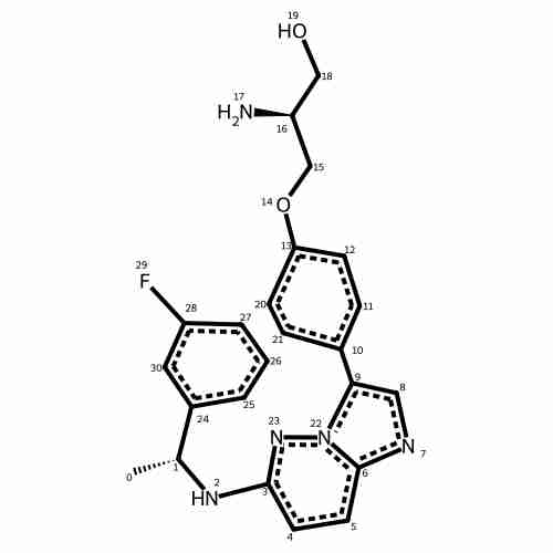 C[C@@H](Nc1ccc2ncc(-c3ccc(OC[C@@H](N)CO)cc3)n2n1)c1cccc(F)c1